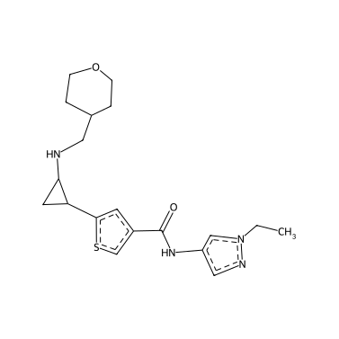 CCn1cc(NC(=O)c2csc(C3CC3NCC3CCOCC3)c2)cn1